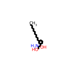 CCCCCCCCCCCCc1cccc(C(O)C(N)CO)c1